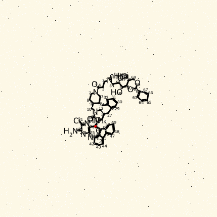 CCCCCCN(CCC(=O)N1CCC(CN(C[C@H](CNC(=O)c2nc(Cl)c(N)nc2N)Cc2ccccc2C)C(=O)OCC2c3ccccc3-c3ccccc32)CC1)C[C@H](O)[C@@H](O)[C@@H]1O[C@H](c2ccccc2)OC[C@H]1O